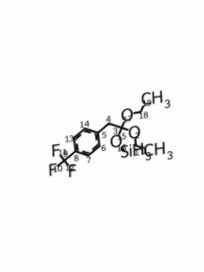 CCOC(Cc1ccc(C(F)(F)F)cc1)(O[SiH3])OCC